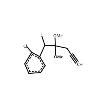 C#CCC(OC)(OC)C(I)c1ccccc1Cl